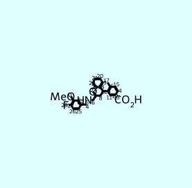 COc1cc(CNCC2CC(c3cc(C(=O)O)ccc3C)c3ccccc3O2)ccc1F